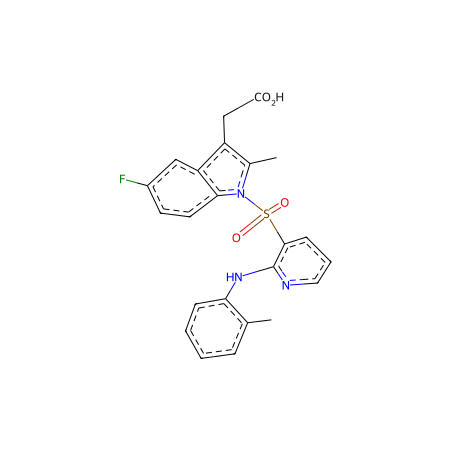 Cc1ccccc1Nc1ncccc1S(=O)(=O)n1c(C)c(CC(=O)O)c2cc(F)ccc21